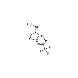 CN[C@H]1COc2cc(C(F)(F)F)ccc21